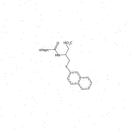 CCCCCCCC(=O)NC(CSc1ccc2ccccc2c1)CC(=O)O